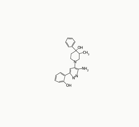 CC1CN(c2cc(-c3ccccc3O)nnc2N)CCC1(O)c1ccccc1